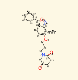 CCCc1c(OCCCN2CC(=O)CCC2=O)ccc2c(-c3ccccc3)onc12